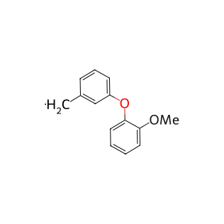 [CH2]c1cccc(Oc2ccccc2OC)c1